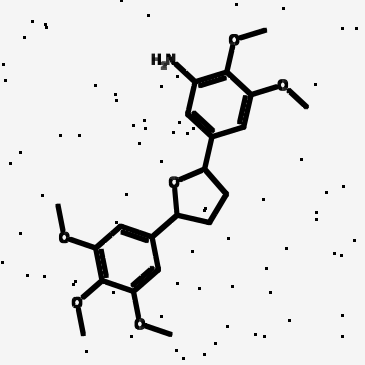 COc1cc(C2CCC(c3cc(OC)c(OC)c(OC)c3)O2)cc(N)c1OC